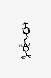 O=C(O)N1C[C@@H]2C(COc3ccc(C(F)(F)F)nc3)[C@@H]2C1